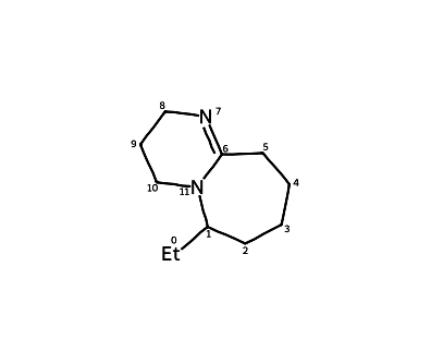 CCC1CCCCC2=NCCCN21